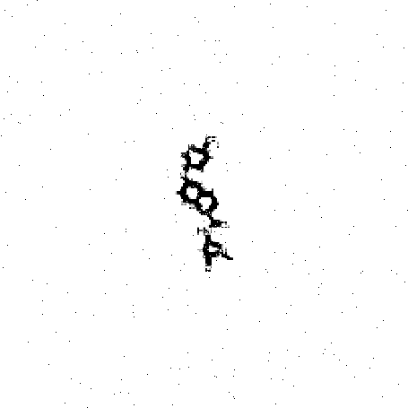 CN1CC(NC(=O)c2ccc3cc(Oc4ccc(C(F)(F)F)nc4)ccc3n2)CC1=O